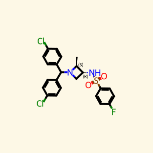 C[C@H]1[C@H](NS(=O)(=O)c2ccc(F)cc2)CN1C(c1ccc(Cl)cc1)c1ccc(Cl)cc1